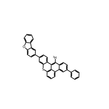 [2H]c1c2c3c(cccc3c3cc(-c4ccccc4)ccc13)Sc1cc(-c3ccc4oc5ccccc5c4c3)ccc1-2